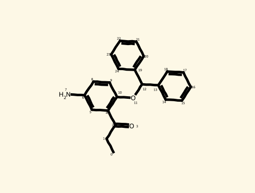 CCC(=O)c1cc(N)ccc1OC(c1ccccc1)c1ccccc1